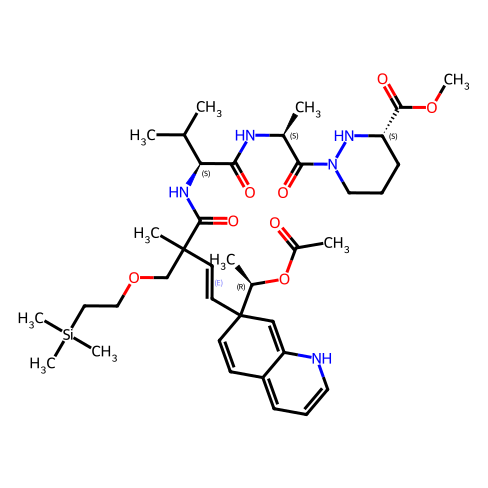 COC(=O)[C@@H]1CCCN(C(=O)[C@H](C)NC(=O)[C@@H](NC(=O)C(C)(/C=C/C2([C@@H](C)OC(C)=O)C=CC3=CC=CNC3=C2)COCC[Si](C)(C)C)C(C)C)N1